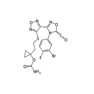 NC(=O)OC1(CCSc2nonc2C2=NOC(=C=O)N2c2ccc(F)c(Br)c2)CC1